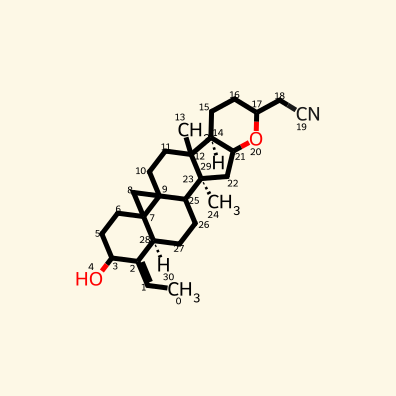 C/C=C1/C(O)CCC23CC24CCC2(C)[C@H]5CCC(CC#N)OC5C[C@@]2(C)C4CC[C@@H]13